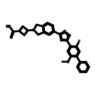 COc1cc(-c2nc(-c3ccc4c(c3)CN(C3CC(C(=O)O)C3)C4)no2)c(F)cc1-c1ccccc1